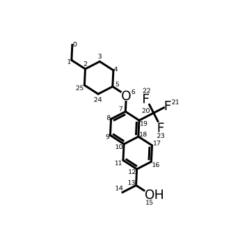 CCC1CCC(Oc2ccc3cc(C(C)O)ccc3c2C(F)(F)F)CC1